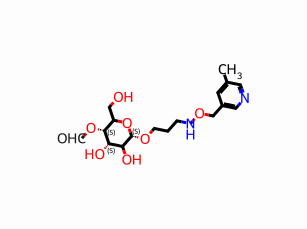 Cc1cncc(CONCCCO[C@H]2OC(CO)[C@@H](OC=O)[C@@H](O)C2O)c1